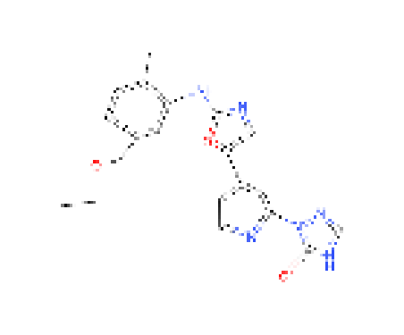 CCOCc1ccc(C)c(Nc2ncc(-c3ccnc(-n4nc[nH]c4=O)c3)o2)c1